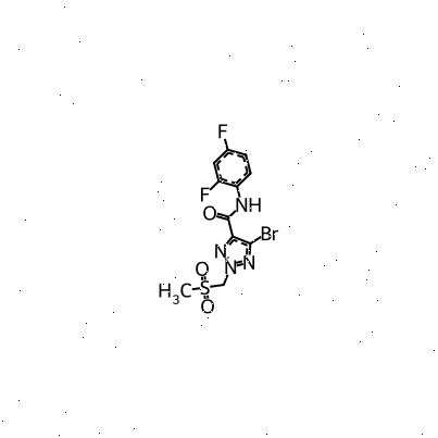 CS(=O)(=O)Cn1nc(Br)c(C(=O)Nc2ccc(F)cc2F)n1